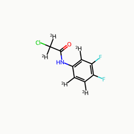 [2H]c1c([2H])c(NC(=O)C([2H])([2H])Cl)c([2H])c(F)c1F